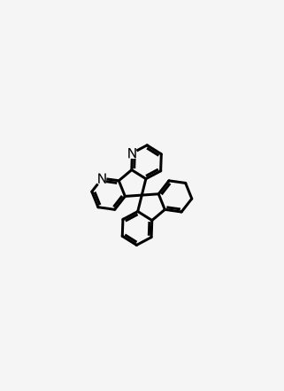 C1=C2C(=CCC1)C1(c3ccccc32)c2cccnc2-c2ncccc21